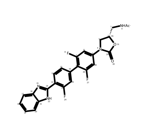 CC(=O)[N]C[C@H]1CN(c2cc(F)c(-c3ccc(-c4nc5ccccc5[nH]4)c(F)c3)c(F)c2)C(=O)O1